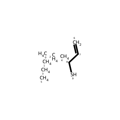 C.C.C.C.C.C.C=CCS